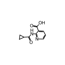 O=C(O)c1cccnc1NC(=O)C1CC1